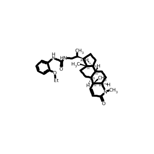 CCOc1ccccc1NC(=O)NCC(C)[C@H]1CC[C@H]2[C@@H]3CC[C@H]4N(C)C(=O)C=C[C@]4(C)[C@H]3CC[C@]12C